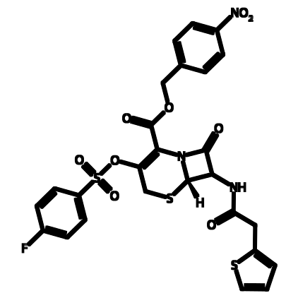 O=C(Cc1cccs1)NC1C(=O)N2C(C(=O)OCc3ccc([N+](=O)[O-])cc3)=C(OS(=O)(=O)c3ccc(F)cc3)CS[C@@H]12